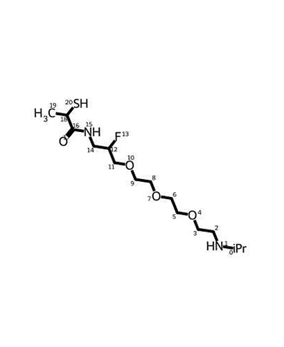 CC(C)NCCOCCOCCOCC(F)CNC(=O)C(C)S